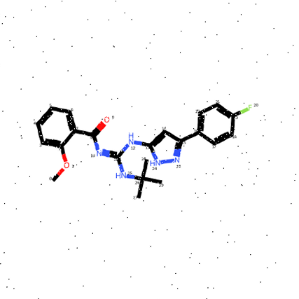 COc1ccccc1C(=O)/N=C(\Nc1cc(-c2ccc(F)cc2)n[nH]1)NC(C)(C)C